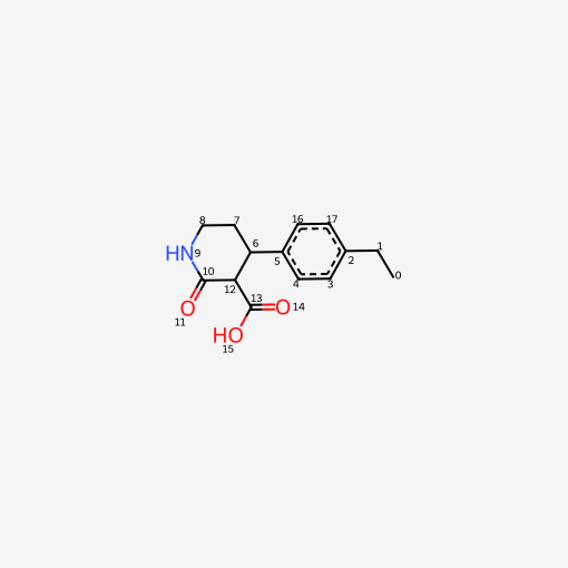 CCc1ccc(C2CCNC(=O)C2C(=O)O)cc1